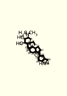 CN(C)[C@H]1C[C@@]23CC[C@]4(O2)C2CC=C(c5ccc6[nH]ncc6c5)[C@@]2(C)CCC4(F)CC3[C@@H](O)[C@@H]1O